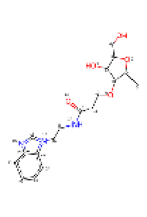 CC1OC(CO)C(O)C1OCCC(=O)NCCn1cnc2ccccc21